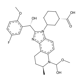 COc1ccc(F)cc1[C@H](O)c1nc2c3c(ccc2n1C1CCC[C@H](C(=O)O)C1)N(C(O)OC)[C@@H](C)CC3